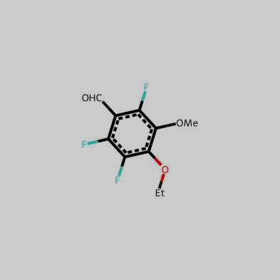 CCOc1c(F)c(F)c(C=O)c(F)c1OC